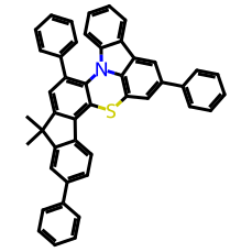 CC1(C)c2cc(-c3ccccc3)ccc2-c2c1cc(-c1ccccc1)c1c2Sc2cc(-c3ccccc3)cc3c4ccccc4n-1c23